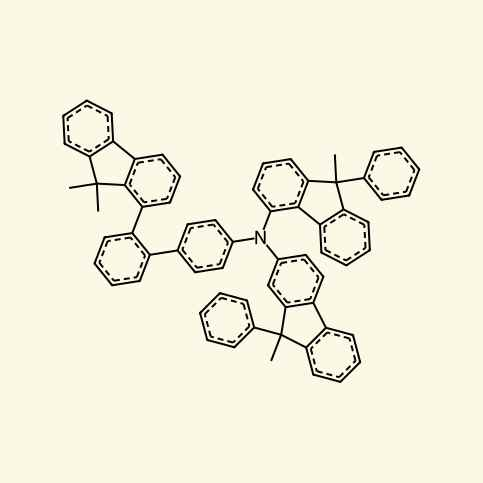 CC1(C)c2ccccc2-c2cccc(-c3ccccc3-c3ccc(N(c4ccc5c(c4)C(C)(c4ccccc4)c4ccccc4-5)c4cccc5c4-c4ccccc4C5(C)c4ccccc4)cc3)c21